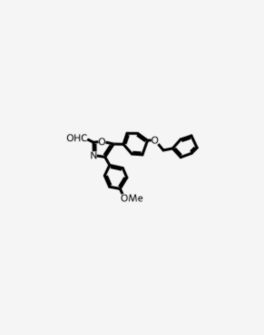 COc1ccc(-c2nc(C=O)oc2-c2ccc(OCc3ccccc3)cc2)cc1